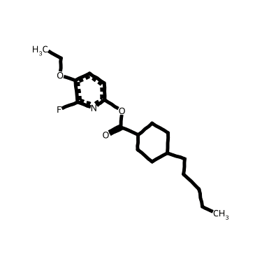 CCCCCC1CCC(C(=O)Oc2ccc(OCC)c(F)n2)CC1